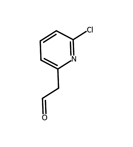 O=CCc1cccc(Cl)n1